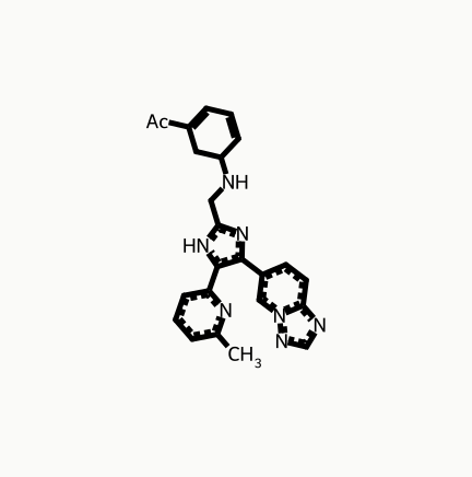 CC(=O)C1=CC=CC(NCc2nc(-c3ccc4ncnn4c3)c(-c3cccc(C)n3)[nH]2)C1